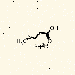 CSCCC(=O)O.[2H][2H]